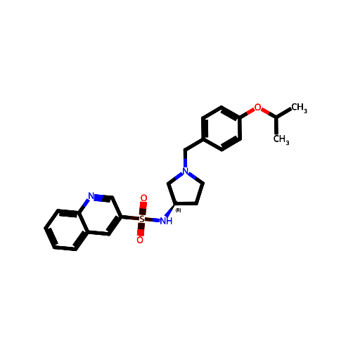 CC(C)Oc1ccc(CN2CC[C@@H](NS(=O)(=O)c3cnc4ccccc4c3)C2)cc1